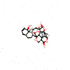 CC12C(=O)C=CC=C1C=CC1C2CCC2(O)C(=O)OC3(C)C4CC5(C)C(COC16C(=O)OC23C56)C(=O)O4